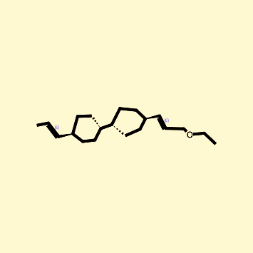 C/C=C/[C@H]1CC[C@H]([C@H]2CC[C@H](/C=C/COCC)CC2)CC1